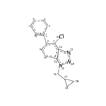 Clc1c(-c2ccccc2)ccc2c1nnn2CC1CC1